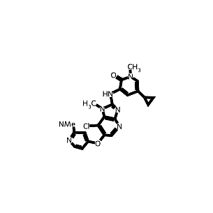 CNc1cc(Oc2cnc3nc(Nc4cc(C5CC5)cn(C)c4=O)n(C)c3c2Cl)ccn1